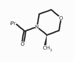 CC(C)C(=O)N1CCOC[C@H]1C